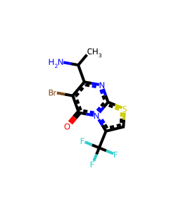 CC(N)c1nc2scc(C(F)(F)F)n2c(=O)c1Br